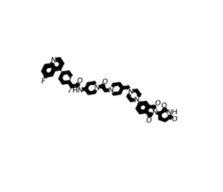 C[C@@H](C(=O)NC1CCN(C(=O)CN2CCC(CN3CCN(c4ccc5c(c4)C(=O)N(C4CCC(=O)NC4=O)C5=O)CC3)CC2)CC1)[C@H]1CC[C@@H](c2ccnc3ccc(F)cc32)CC1